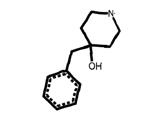 OC1(Cc2ccccc2)CC[N]CC1